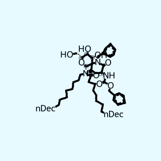 CCCCCCCCCCCCCCCCCCN(C(=O)CCCCCCCCCCCCCCCCC)[C@@H]1O[C@H](CO)[C@@H](O)[C@H](O)C12C(=O)C[C@H](NC(=O)OCc1ccccc1)C(=O)N2Cc1ccccc1